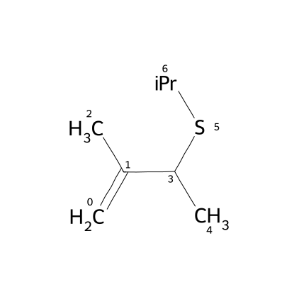 C=C(C)C(C)SC(C)C